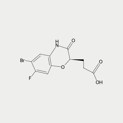 O=C(O)CC[C@H]1Oc2cc(F)c(Br)cc2NC1=O